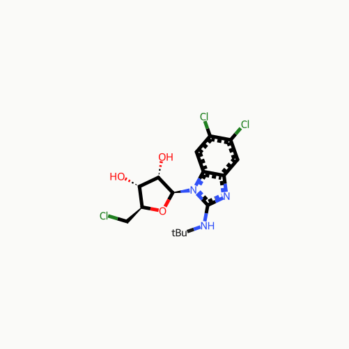 CC(C)(C)Nc1nc2cc(Cl)c(Cl)cc2n1[C@H]1O[C@@H](CCl)[C@H](O)[C@@H]1O